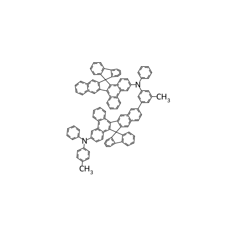 Cc1ccc(N(c2ccccc2)c2ccc3c4c(c5ccccc5c3c2)-c2cc3cc(-c5cc(C)cc(N(c6ccccc6)c6ccc7c8c(c9ccccc9c7c6)-c6cc7ccccc7cc6C86c7ccccc7-c7ccccc76)c5)ccc3cc2C42c3ccccc3-c3ccccc32)cc1